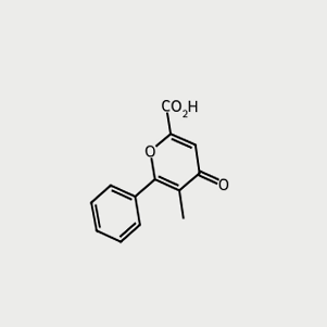 Cc1c(-c2ccccc2)oc(C(=O)O)cc1=O